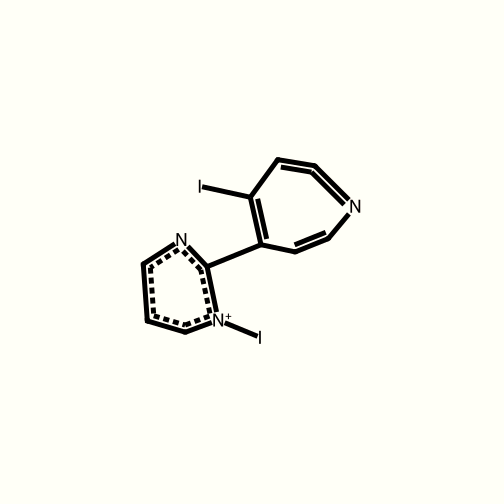 IC1=C(c2nccc[n+]2I)C=CN=C=C1